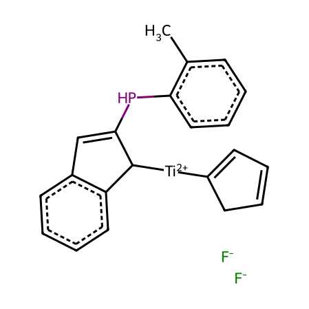 Cc1ccccc1PC1=Cc2ccccc2[CH]1[Ti+2][C]1=CC=CC1.[F-].[F-]